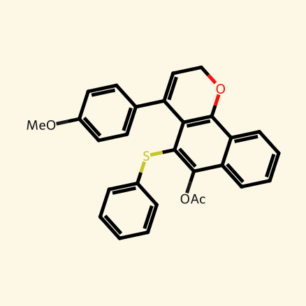 COc1ccc(C2=CCOc3c2c(Sc2ccccc2)c(OC(C)=O)c2ccccc32)cc1